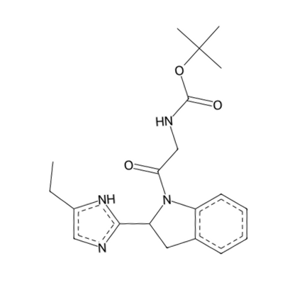 CCc1cnc(C2Cc3ccccc3N2C(=O)CNC(=O)OC(C)(C)C)[nH]1